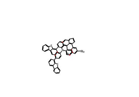 CC(C)(C)c1cc(-c2cccc3cccc(-c4ccccc4N(c4ccc(-c5cccc6c5sc5ccccc56)cc4)c4ccccc4-c4cccc5c4sc4ccccc45)c23)cc(C(C)(C)C)c1